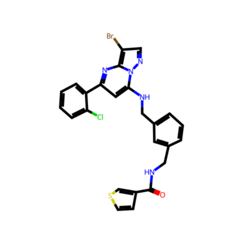 O=C(NCc1cccc(CNc2cc(-c3ccccc3Cl)nc3c(Br)cnn23)c1)c1ccsc1